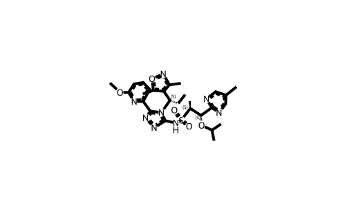 CC[C@@H](c1c(C)noc1C)n1c(NS(=O)(=O)[C@@H](C)[C@@H](OC(C)C)c2ncc(C)cn2)nnc1-c1cccc(OC)n1